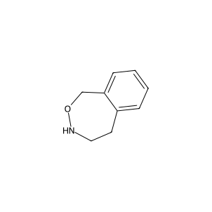 c1ccc2c(c1)CCNOC2